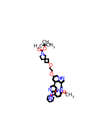 COc1ccc(CN2C3CC2CN(c2ccc(-c4cc(OCCOC5CC6(CCN(C(=O)OC(C)(C)C)C6)C5)cn5ncc(C#N)c45)cn2)C3)cn1